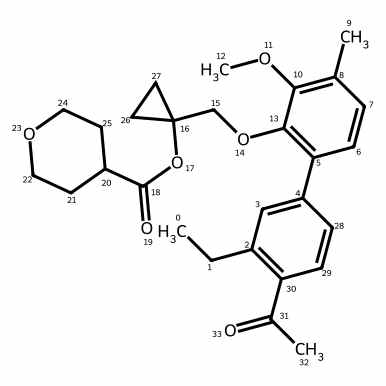 CCc1cc(-c2ccc(C)c(OC)c2OCC2(OC(=O)C3CCOCC3)CC2)ccc1C(C)=O